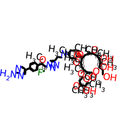 CO[C@H](c1ccc(-c2cnc(N)nc2)cc1)[C@@H](CF)n1cc(CCN(C)[C@@H]2C[C@H](O[C@@H]3[C@@H](C)[C@H](O[C@H]4C[C@@](C)(OC)[C@@H](O)[C@H](C)O4)[C@@H](C)C(=O)O[C@H](CCO)[C@@](C)(O)[C@H](O)[C@@H](C)C(=O)[C@H](C)C[C@@]3(C)OC)O[C@H](C)C2)nn1